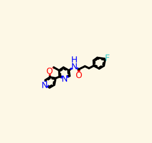 O=C(CCc1ccc(F)cc1)Nc1cnc2c(c1)COc1cnccc1-2